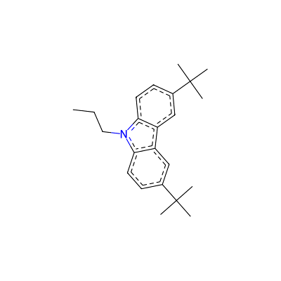 CCCn1c2ccc(C(C)(C)C)cc2c2cc(C(C)(C)C)ccc21